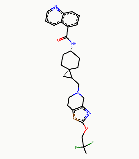 CC(F)(F)COc1nc2c(s1)CCN(CC1C[C@]13CC[C@@H](NC(=O)c1cccc4ncccc14)CC3)C2